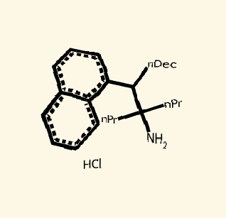 CCCCCCCCCCC(c1cccc2ccccc12)C(N)(CCC)CCC.Cl